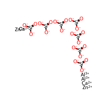 O=[Si]([O-])[O-].O=[Si]([O-])[O-].O=[Si]([O-])[O-].O=[Si]([O-])[O-].O=[Si]([O-])[O-].O=[Si]([O-])[O-].O=[Si]([O-])[O-].[Al+3].[Al+3].[Ca+2].[Ca+2].[Zn+2].[Zn+2]